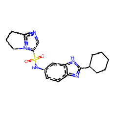 O=S(=O)(Nc1ccc2nc(C3CCCCC3)[nH]c2c1)c1cnc2n1CCC2